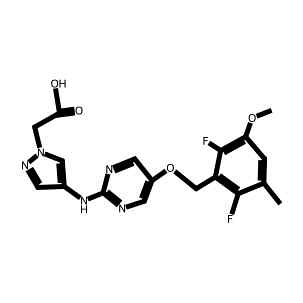 COc1cc(C)c(F)c(COc2cnc(Nc3cnn(CC(=O)O)c3)nc2)c1F